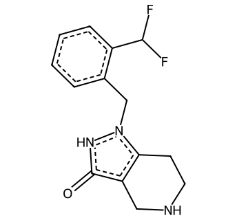 O=c1[nH]n(Cc2ccccc2C(F)F)c2c1CNCC2